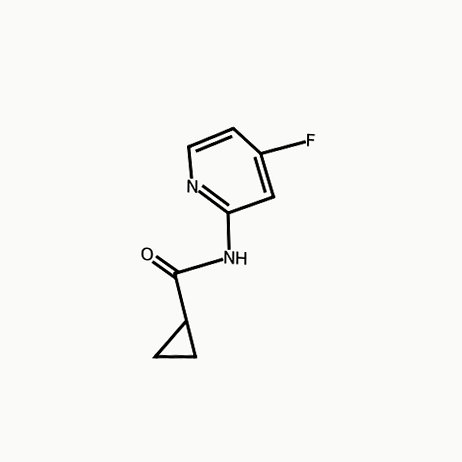 O=C(Nc1cc(F)ccn1)C1CC1